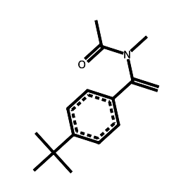 C=C(c1ccc(C(C)(C)C)cc1)N(C)C(C)=O